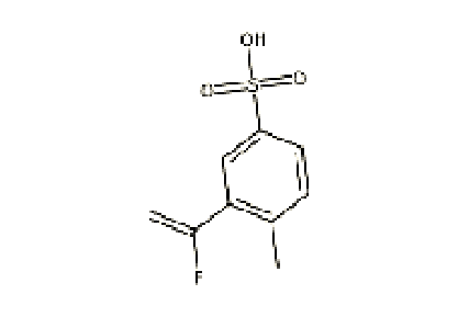 C=C(F)c1cc(S(=O)(=O)O)ccc1C